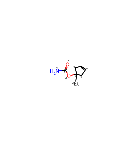 CCC1(OC(N)=O)CC=CC1